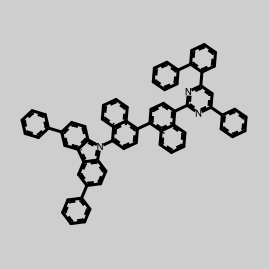 c1ccc(-c2ccc3c(c2)c2cc(-c4ccccc4)ccc2n3-c2ccc(-c3ccc(-c4nc(-c5ccccc5)cc(-c5ccccc5-c5ccccc5)n4)c4ccccc34)c3ccccc23)cc1